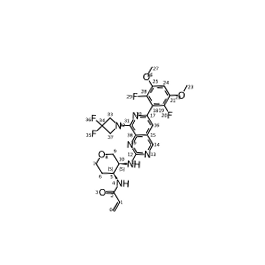 C=CC(=O)N[C@H]1CCOC[C@H]1Nc1ncc2cc(-c3c(F)c(OC)cc(OC)c3F)nc(N3CC(F)(F)C3)c2n1